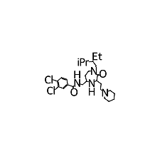 CCC(CN1CCC(CNC(=O)c2ccc(Cl)c(Cl)c2)NC(CCN2CCCCC2)C1=O)C(C)C